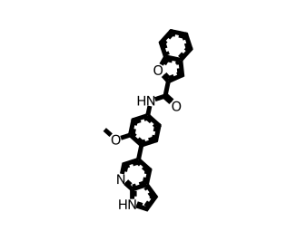 COc1cc(NC(=O)c2cc3ccccc3o2)ccc1-c1cnc2[nH]ccc2c1